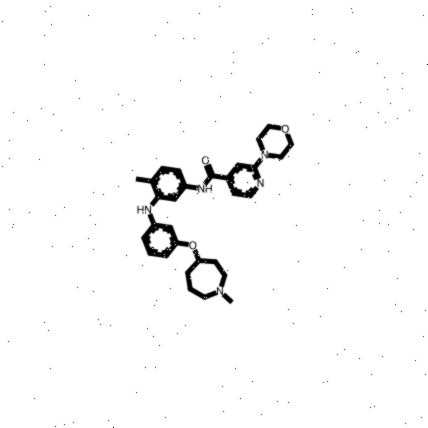 Cc1ccc(NC(=O)c2ccnc(N3CCOCC3)c2)cc1Nc1cccc(OC2CCCN(C)CC2)c1